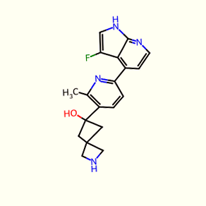 Cc1nc(-c2ccnc3[nH]cc(F)c23)ccc1C1(O)CC2(CNC2)C1